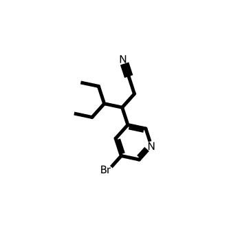 CCC(CC)C(CC#N)c1cncc(Br)c1